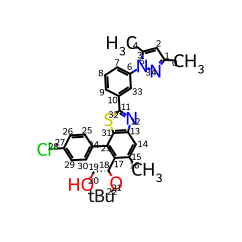 Cc1cc(C)n(-c2cccc(-c3nc4cc(C)c([C@@H](CO)OC(C)(C)C)c(-c5ccc(Cl)cc5)c4s3)c2)n1